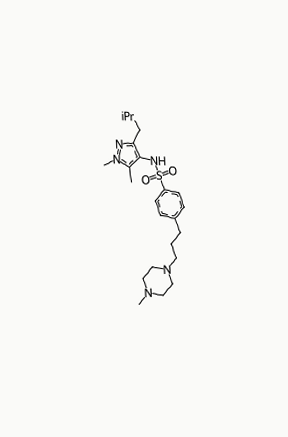 Cc1c(NS(=O)(=O)c2ccc(CCCN3CCN(C)CC3)cc2)c(CC(C)C)nn1C